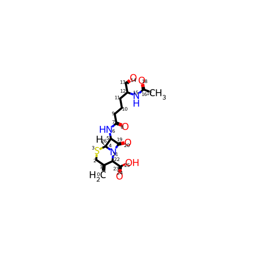 C=C1CS[C@H]2C(NC(=O)CCCC(C=O)NC(C)=O)C(=O)N2C1C(=O)O